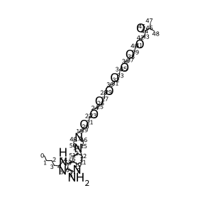 CCCCc1nc2c(N)nc3ccc(N4CCN(CCOCCOCCOCCOCCOCCOCCOCCOCCC(=O)C(C)C)CC4)cc3c2[nH]1